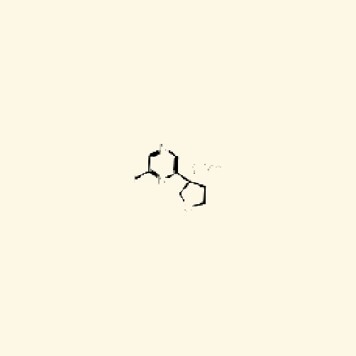 CO[C@]1(c2cncc(I)n2)CCOC1